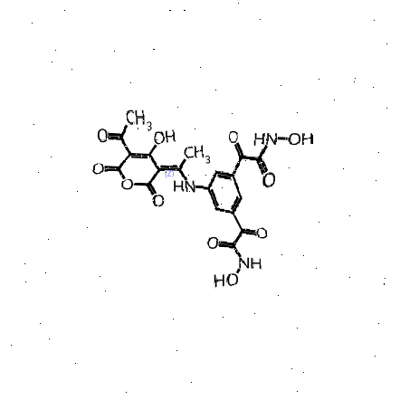 CC(=O)C1=C(O)/C(=C(\C)Nc2cc(C(=O)C(=O)NO)cc(C(=O)C(=O)NO)c2)C(=O)OC1=O